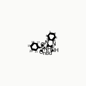 CCCCNc1nc2ccccc2nc1NS(=O)(=O)c1ccccc1